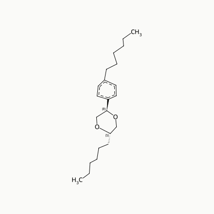 CCCCCCc1ccc([C@@H]2CO[C@@H](CCCCCC)CO2)cc1